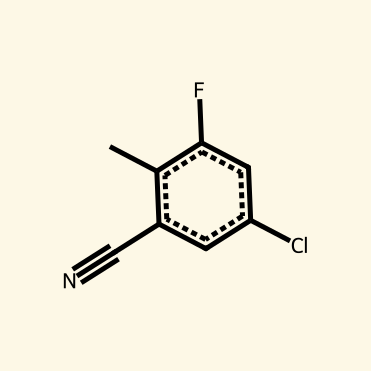 Cc1c(F)cc(Cl)cc1C#N